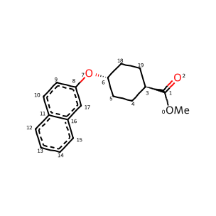 COC(=O)[C@H]1CC[C@H](Oc2ccc3ccccc3c2)CC1